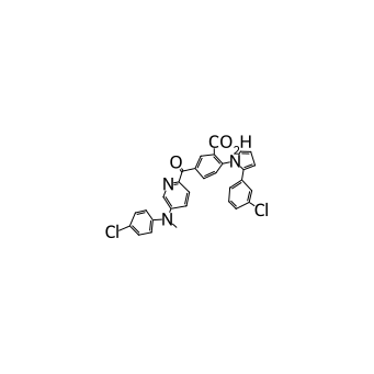 CN(c1ccc(Cl)cc1)c1ccc(C(=O)c2ccc(-n3cccc3-c3cccc(Cl)c3)c(C(=O)O)c2)nc1